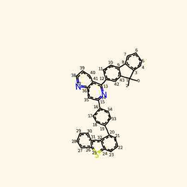 CC1(C)c2ccccc2-c2ccc(-c3nc(-c4ccc(-c5cccc6sc7ccccc7c56)cc4)cc4ncccc34)cc21